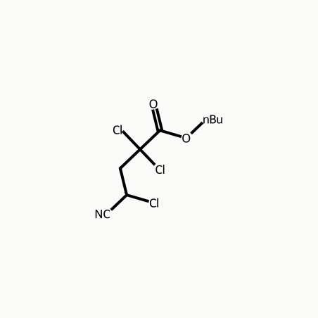 CCCCOC(=O)C(Cl)(Cl)CC(Cl)C#N